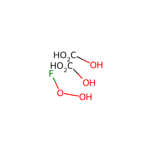 O=C(O)O.O=C(O)O.OOF